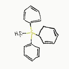 CS(c1ccccc1)(c1ccccc1)C1C=CC=CC1